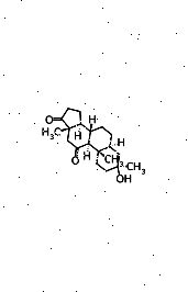 C[C@]1(O)CC[C@@]2(C)[C@@H](CC[C@@H]3[C@@H]2C(=O)C[C@]2(C)C(=O)CC[C@@H]32)C1